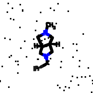 CC(C)CN1C[C@H]2CN(C)C[C@H]2C1